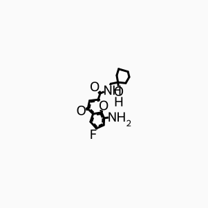 Nc1cc(F)cc2c(=O)cc(C(=O)NCC3(O)CCCCC3)oc12